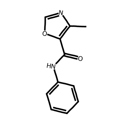 Cc1ncoc1C(=O)Nc1ccccc1